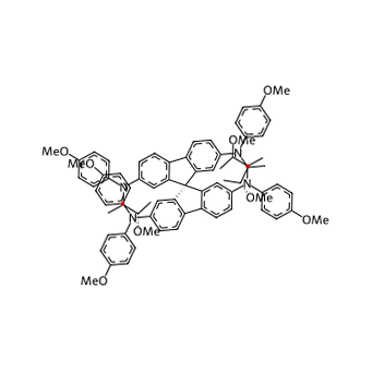 COc1ccc(N(c2ccc(OC)cc2)c2ccc3c(c2)[C@]2(c4cc(N(c5ccc(OC)cc5)C(C)C(C)OC)ccc4-3)c3cc(N(c4ccc(OC)cc4)C(C)[C@H](C)OC)ccc3-c3ccc(N(c4ccc(OC)cc4)C(C)[C@@H](C)OC)cc32)cc1